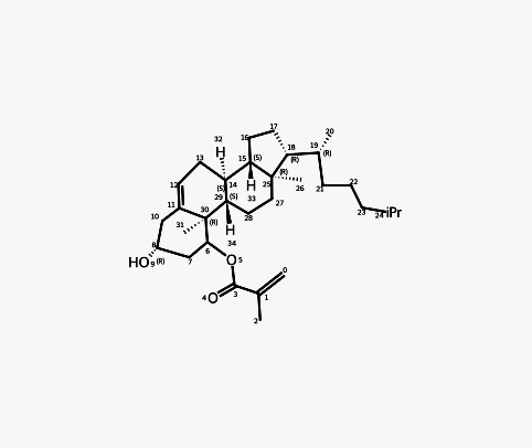 C=C(C)C(=O)OC1C[C@H](O)CC2=CC[C@H]3[C@@H]4CC[C@H]([C@H](C)CCCC(C)C)[C@@]4(C)CC[C@@H]3[C@]21C